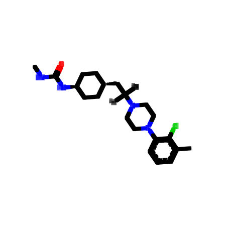 [2H]C([2H])(C[C@H]1CC[C@H](NC(=O)NC)CC1)N1CCN(c2cccc(C)c2Cl)CC1